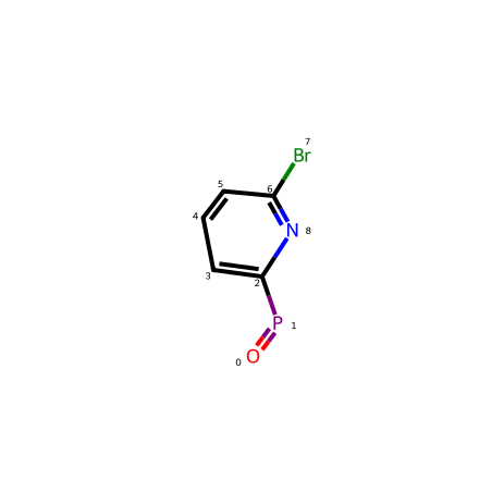 O=Pc1cccc(Br)n1